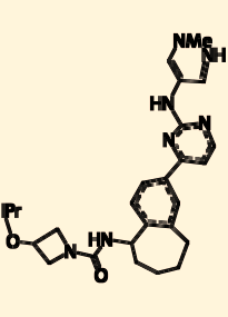 CN/C=C(\C=N)Nc1nccc(-c2ccc3c(c2)CCCCC3NC(=O)N2CC(OC(C)C)C2)n1